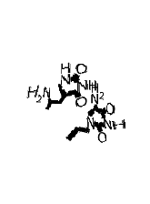 C=CCn1cc(N)c(=O)[nH]c1=O.CC(N)Cc1c[nH]c(=O)[nH]c1=O